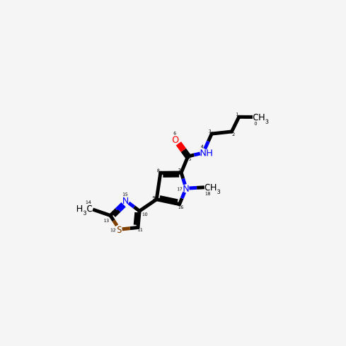 CCCCNC(=O)c1cc(-c2csc(C)n2)cn1C